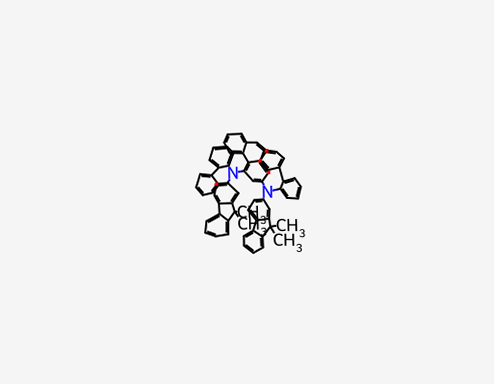 CC1(C)c2ccccc2-c2ccc(N(c3cc(N(c4ccc5c(c4)C(C)(C)c4ccccc4-5)c4ccccc4-c4ccccc4)c4c(ccc5ccccc54)c3)c3ccccc3-c3ccccc3)cc21